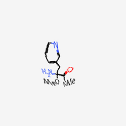 CNC(=O)C(N)(Cc1cccnc1)OC